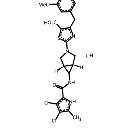 COc1cccc(Cc2nc(N3C[C@@H]4C(NC(=O)c5[nH]c(C)c(Cl)c5Cl)[C@@H]4C3)sc2C(=O)O)c1.[LiH]